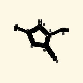 CCCCn1[nH]c(C(C)C)cc1=O